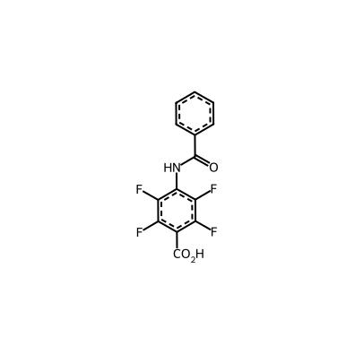 O=C(Nc1c(F)c(F)c(C(=O)O)c(F)c1F)c1ccccc1